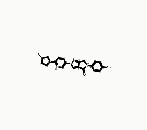 O=C1c2cn(-c3ccc(N4CC[C@H](F)C4)nc3)nc2CN1c1ccc(F)cc1